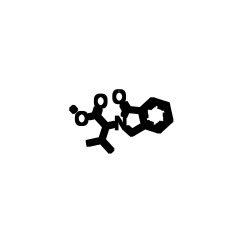 COC(=O)C(C(C)C)N1Cc2ccccc2C1=O